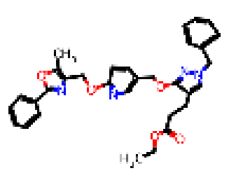 CCOC(=O)CCc1cn(Cc2ccccc2)nc1OCc1ccc(OCc2nc(-c3ccccc3)oc2C)nc1